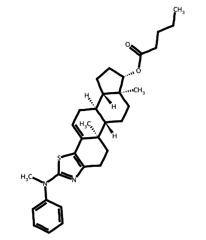 CCCCC(=O)O[C@H]1CC[C@H]2[C@@H]3CC=C4c5sc(N(C)c6ccccc6)nc5CC[C@]4(C)[C@H]3CC[C@]12C